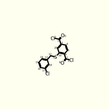 O=C(Cl)c1ccc(C(=O)Cl)c(SCc2cccc(Cl)c2)c1